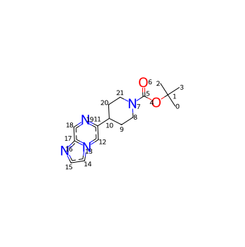 CC(C)(C)OC(=O)N1CCC(c2cn3ccnc3cn2)CC1